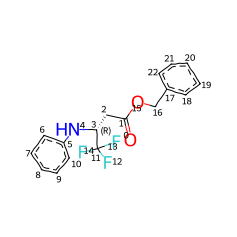 O=C(C[C@@H](Nc1ccccc1)C(F)(F)F)OCc1ccccc1